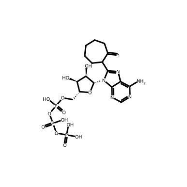 Nc1ncnc2c1nc(C1CCCCCC1=S)n2[C@@H]1O[C@H](COP(=O)(O)OP(=O)(O)OP(=O)(O)O)[C@@H](O)[C@H]1O